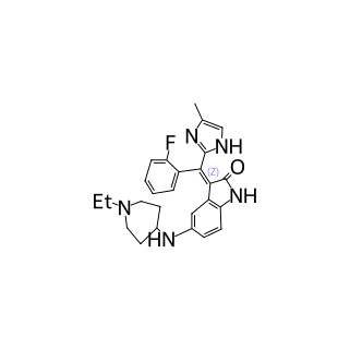 CCN1CCC(Nc2ccc3c(c2)/C(=C(/c2nc(C)c[nH]2)c2ccccc2F)C(=O)N3)CC1